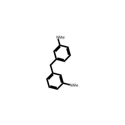 CNc1cccc(Cc2cccc(NC)c2)c1